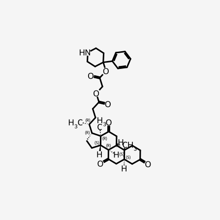 C[C@H](CCC(=O)OCC(=O)OC1(c2ccccc2)CCNCC1)[C@H]1CC[C@H]2[C@@H]3C(=O)C[C@@H]4CC(=O)CC[C@]4(C)[C@H]3CC(=O)[C@]12C